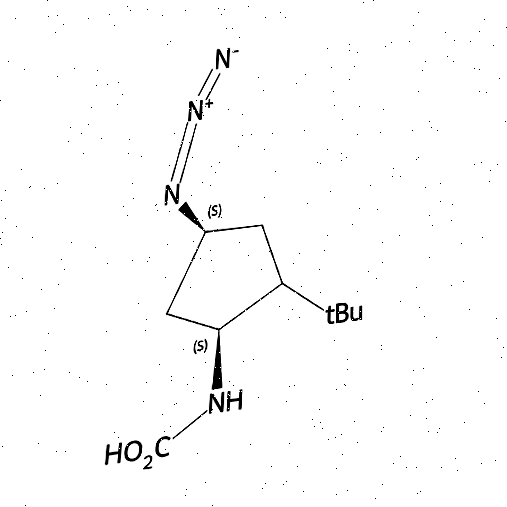 CC(C)(C)C1C[C@H](N=[N+]=[N-])C[C@@H]1NC(=O)O